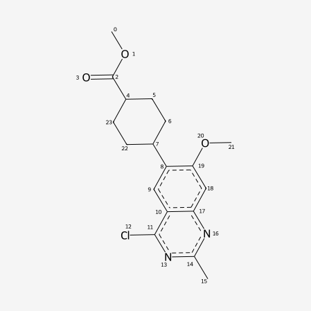 COC(=O)C1CCC(c2cc3c(Cl)nc(C)nc3cc2OC)CC1